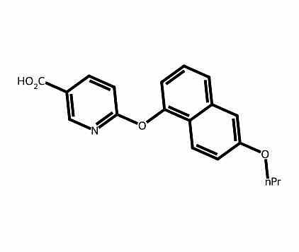 CCCOc1ccc2c(Oc3ccc(C(=O)O)cn3)cccc2c1